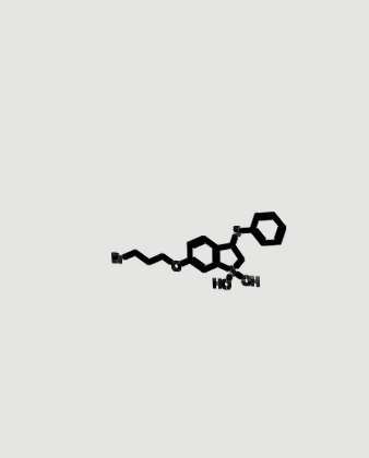 OS1(O)CC(Sc2ccccc2)c2ccc(OCCCBr)cc21